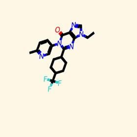 CCn1cnc2c(=O)n(-c3ccc(C)nc3)c(C3CCC(C(F)(F)F)CC3)nc21